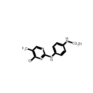 CCOC(=O)Nc1ccc(Nc2ncc(C(F)(F)F)c(Cl)n2)cc1